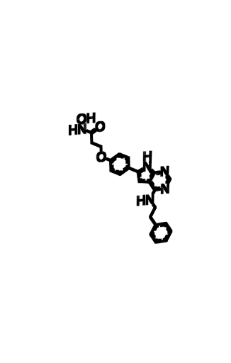 O=C(CCOc1ccc(-c2cc3c(NCCc4ccccc4)ncnc3[nH]2)cc1)NO